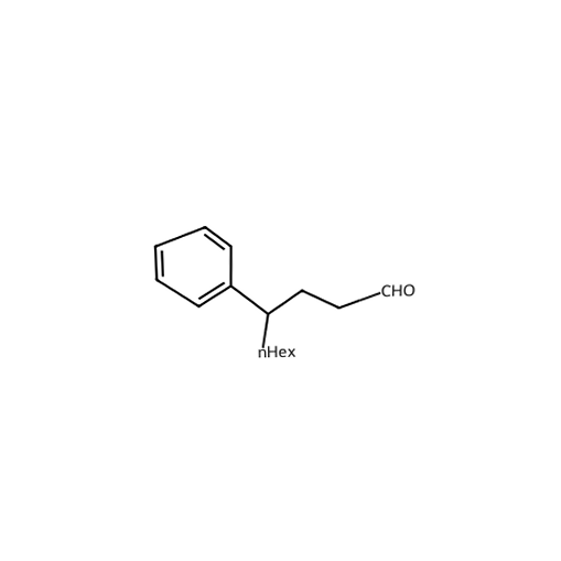 CCCCCCC(CCC=O)c1ccccc1